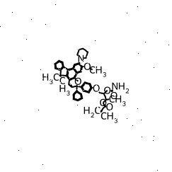 C=C(C)C(=O)OC(C)C(COc1ccc(C2(c3ccccc3)C=Cc3c4c(c5cc(N6CCCCC6)c(OC)cc5c3O2)-c2ccccc2C4(C)C)cc1)OC(N)=O